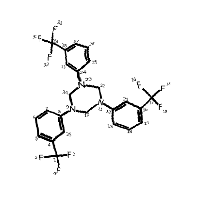 FC(F)(F)c1cccc(N2CN(c3cccc(C(F)(F)F)c3)CN(c3cccc(C(F)(F)F)c3)C2)c1